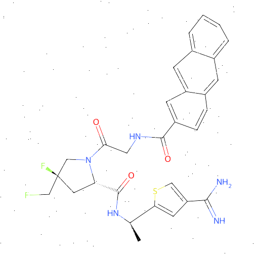 C[C@@H](NC(=O)[C@@H]1C[C@](F)(CF)CN1C(=O)CNC(=O)c1ccc2cc3ccccc3cc2c1)c1cc(C(=N)N)cs1